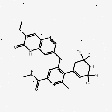 [2H]C1([2H])C=C(c2c(Cc3cnc4cc(CC)c(=O)[nH]c4c3)cc(C(=O)NC)nc2C)CC([2H])([2H])N1